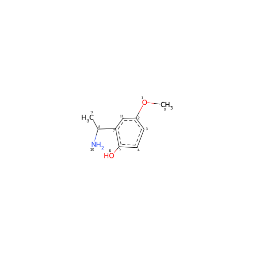 COc1ccc(O)c(C(C)N)c1